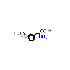 NC(Cc1cccc(OS(=O)(=O)O)c1)C(=O)O